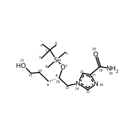 CC(C)(C)[Si](C)(C)O[C@@H](CCCO)Cn1cnc(C(N)=O)c1